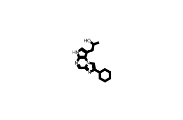 CC(O)Cc1c[nH]c2ncc3nc(C4CCCCC4)cn3c12